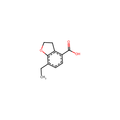 CCc1ccc(C(=O)O)c2c1OCC2